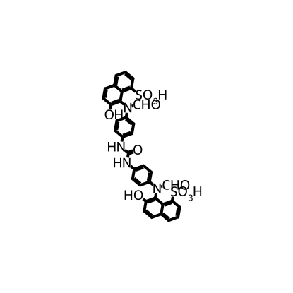 O=CN(c1ccc(NC(=O)Nc2ccc(N(C=O)c3c(O)ccc4cccc(S(=O)(=O)O)c34)cc2)cc1)c1c(O)ccc2cccc(S(=O)(=O)O)c12